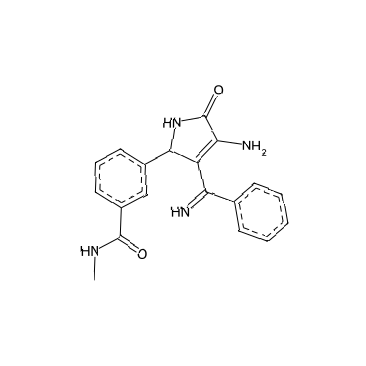 CNC(=O)c1cccc(C2NC(=O)C(N)=C2C(=N)c2ccccc2)c1